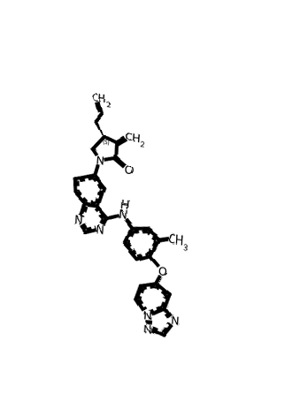 C=CC[C@@H]1CN(c2ccc3ncnc(Nc4ccc(Oc5ccn6ncnc6c5)c(C)c4)c3c2)C(=O)C1=C